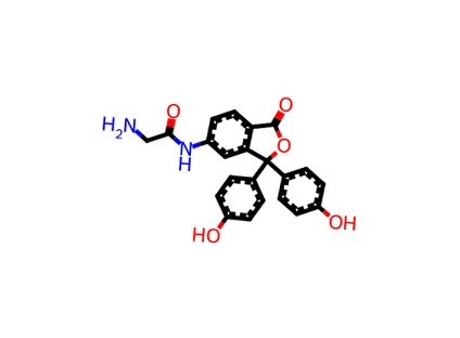 NCC(=O)Nc1ccc2c(c1)C(c1ccc(O)cc1)(c1ccc(O)cc1)OC2=O